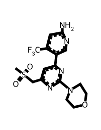 CS(=O)(=O)Cc1cc(-c2cnc(N)cc2C(F)(F)F)nc(N2CCOCC2)n1